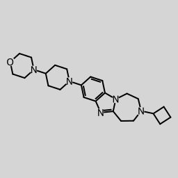 c1cc2c(cc1N1CCC(N3CCOCC3)CC1)nc1n2CCN(C2CCC2)CC1